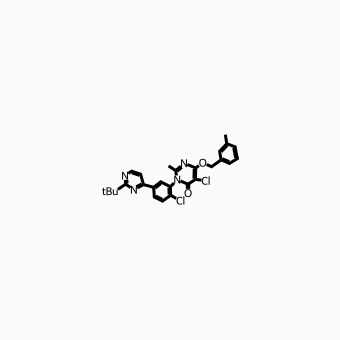 Cc1cccc(COc2nc(C)n(-c3cc(-c4ccnc(C(C)(C)C)n4)ccc3Cl)c(=O)c2Cl)c1